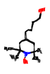 CC1(C)CC(CCCCO)CC(C)(C)N1O